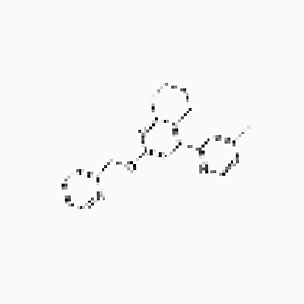 Cc1ccnc(-c2cc(OCc3ccccn3)nc3c2CCCC3)c1